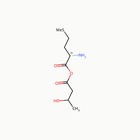 CSCC[C@H](N)C(=O)OC(=O)CC(C)O